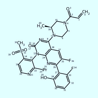 C=CC(=O)N1CCN(c2nc(=O)n(-c3c(S(C)(=O)=O)ccnc3C(C)C)c3nc(-c4c(O)cccc4F)c(F)cc23)[C@@H](C)C1